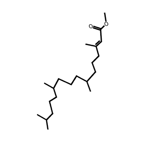 COC(=O)/C=C(\C)CCCC(C)CCCC(C)CCCC(C)C